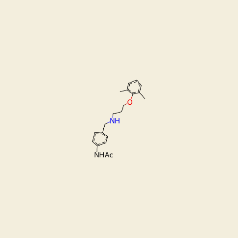 CC(=O)Nc1ccc(CNCCCOc2c(C)cccc2C)cc1